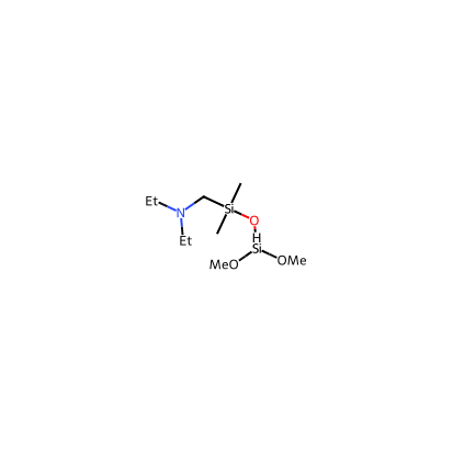 CCN(CC)C[Si](C)(C)O[SiH](OC)OC